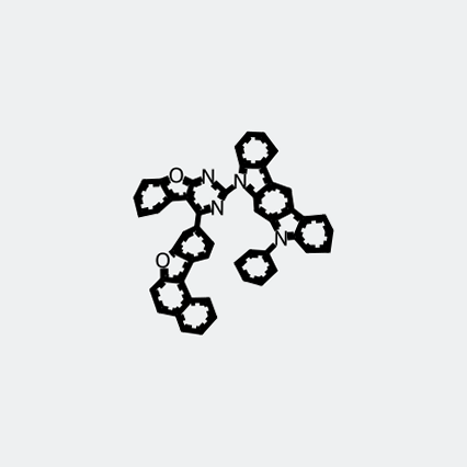 c1ccc(-n2c3ccccc3c3cc4c5ccccc5n(-c5nc(-c6ccc7c(c6)oc6ccc8ccccc8c67)c6c(n5)oc5ccccc56)c4cc32)cc1